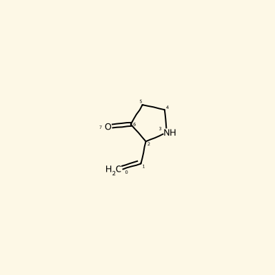 C=CC1NCCC1=O